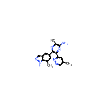 Cc1cnnc(-c2nc(N)c(C#N)nc2-c2cc(C)c3[nH]ncc3c2)c1